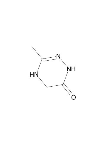 CC1=NNC(=O)CN1